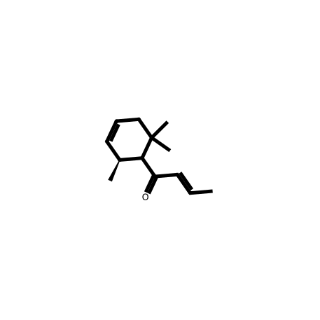 C/C=C/C(=O)C1[C@@H](C)C=CCC1(C)C